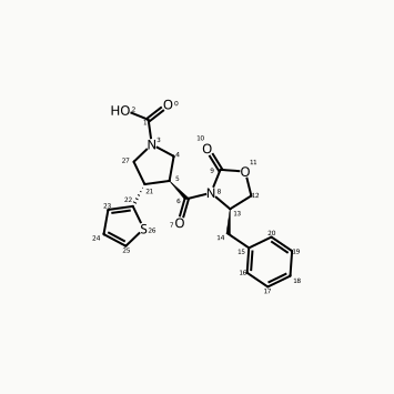 O=C(O)N1C[C@@H](C(=O)N2C(=O)OC[C@H]2Cc2ccccc2)[C@H](c2cccs2)C1